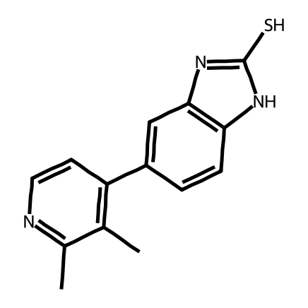 Cc1nccc(-c2ccc3[nH]c(S)nc3c2)c1C